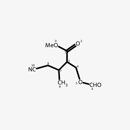 COC(=O)C(COC=O)C(C)CC#N